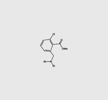 CCN(CC)Cc1cccc(Cl)c1C(=O)OC